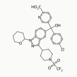 O=C(O)c1ccc(C(O)(c2ccc(Cl)cc2)c2ccc3c(c2)c(C2CCN(S(=O)(=O)C(F)(F)F)CC2)nn3C2CCCCO2)cn1